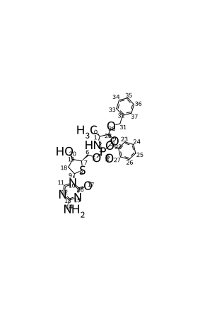 C[C@H](N[P@](=O)(OC[C@H]1S[C@@H](n2cnc(N)nc2=O)C[C@H]1O)Oc1ccccc1)C(=O)OCc1ccccc1